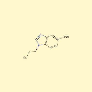 COc1ccc2c(c1)ncn2CCC(C)(C)C